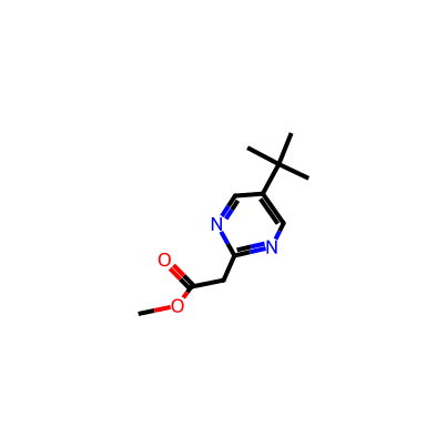 COC(=O)Cc1ncc(C(C)(C)C)cn1